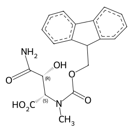 CN(C(=O)OCC1c2ccccc2-c2ccccc21)[C@H](C(=O)O)[C@@H](O)C(N)=O